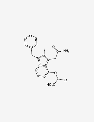 CCC(Oc1cccc2c1c(CC(N)=O)c(C)n2Cc1ccccc1)C(=O)O